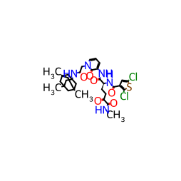 CNC(=O)C(=O)CC[C@H](NC(=O)c1cc(Cl)sc1Cl)C(=O)Nc1cccn(CC(=O)NC23CC4(C)CC(C)(CC(C)(C4)C2)C3)c1=O